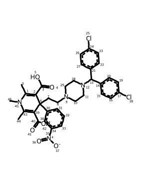 CC1=C(C(=O)O)C(CCN2CCN(C(c3ccc(Cl)cc3)c3ccc(Cl)cc3)CC2)(c2cccc([N+](=O)[O-])c2)C(C(=O)O)=C(C)N1C